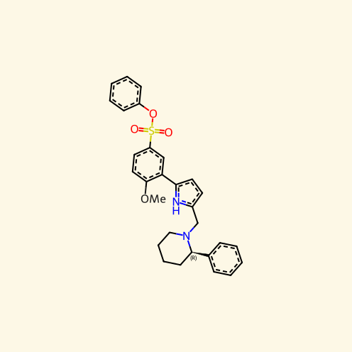 COc1ccc(S(=O)(=O)Oc2ccccc2)cc1-c1ccc(CN2CCCC[C@@H]2c2ccccc2)[nH]1